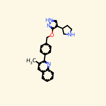 Cc1cc2ccccc2nc1-c1ccc(COc2n[nH]cc2C2CCNC2)cc1